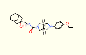 CCOc1ccc(N2C[C@H]3CN(C(=O)NCCC4(O)CC5CCCC(C5)C4)C[C@H]3C2)cc1